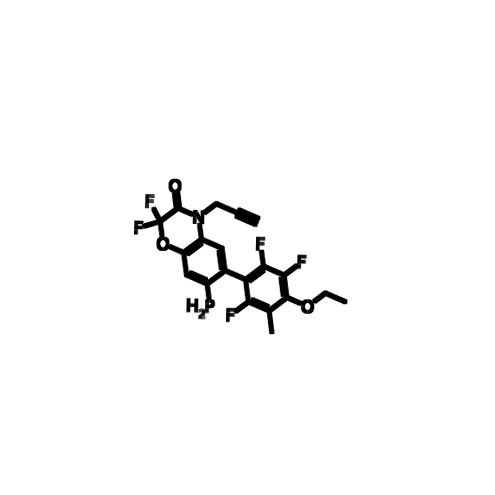 C#CCN1C(=O)C(F)(F)Oc2cc(P)c(-c3c(F)c(C)c(OCC)c(F)c3F)cc21